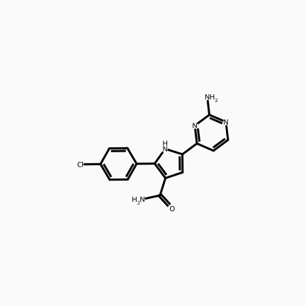 NC(=O)c1cc(-c2ccnc(N)n2)[nH]c1-c1ccc(Cl)cc1